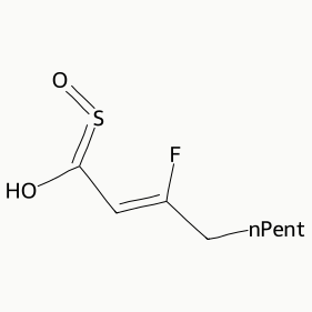 CCCCCCC(F)=CC(O)=S=O